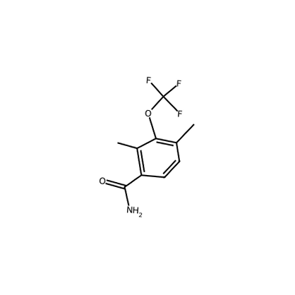 Cc1ccc(C(N)=O)c(C)c1OC(F)(F)F